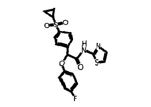 O=C(Nc1nccs1)C(Oc1ccc(F)cc1)c1ccc(S(=O)(=O)C2CC2)cc1